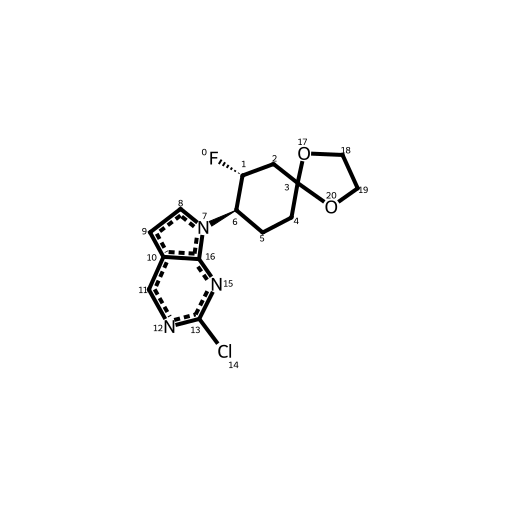 F[C@@H]1CC2(CC[C@H]1n1ccc3cnc(Cl)nc31)OCCO2